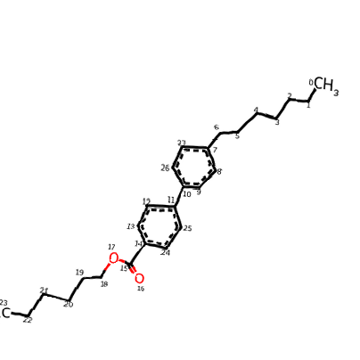 CCCCCCCc1ccc(-c2ccc(C(=O)OCCCCCC)cc2)cc1